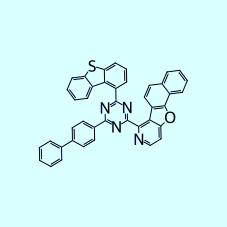 c1ccc(-c2ccc(-c3nc(-c4nccc5oc6c7ccccc7ccc6c45)nc(-c4cccc5sc6ccccc6c45)n3)cc2)cc1